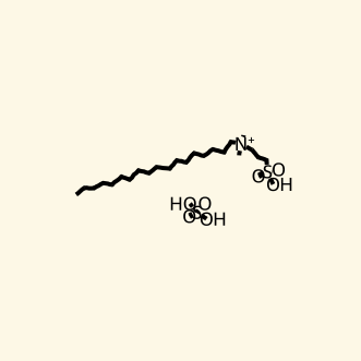 CCCCCCCCCCCCCCCCCC[N+](C)(C)CCCS(=O)(=O)O.O=S(=O)(O)O